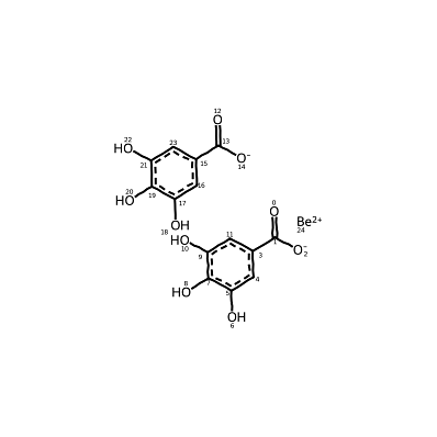 O=C([O-])c1cc(O)c(O)c(O)c1.O=C([O-])c1cc(O)c(O)c(O)c1.[Be+2]